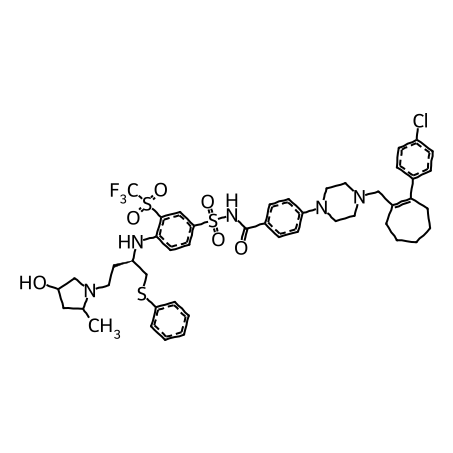 CC1CC(O)CN1CC[C@H](CSc1ccccc1)Nc1ccc(S(=O)(=O)NC(=O)c2ccc(N3CCN(CC4=C(c5ccc(Cl)cc5)CCCCC4)CC3)cc2)cc1S(=O)(=O)C(F)(F)F